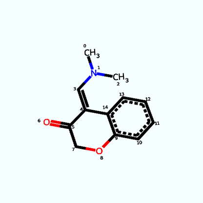 CN(C)/C=C1/C(=O)COc2ccccc21